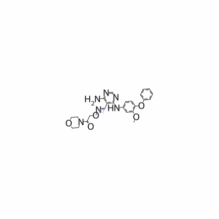 COc1cc(Nc2ncnc(N)c2/C=N/OCC(=O)N2CCOCC2)ccc1Oc1ccccc1